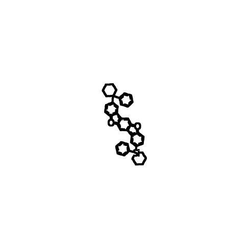 c1ccc(C2(c3ccc4oc5cc6c(cc5c4c3)oc3ccc([Si]4(c5ccccc5)CCCCC4)cc36)CCCCC2)cc1